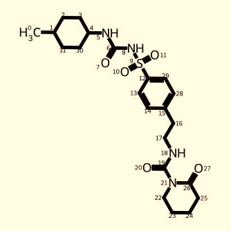 CC1CCC(NC(=O)NS(=O)(=O)c2ccc(CCNC(=O)N3CCCCC3=O)cc2)CC1